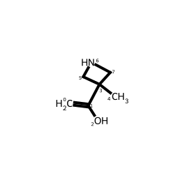 C=C(O)C1(C)CNC1